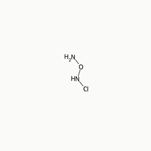 NONCl